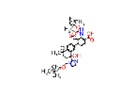 CC(C)(C)OC(=O)NC1=C(C(=O)O)C=CC(c2ccc3c(c2)C(O)(c2nccn2COCC[Si](C)(C)C)CCC3(C)C)C1=C=O